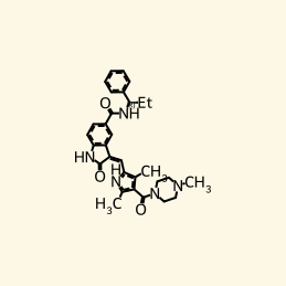 CC[C@@H](NC(=O)c1ccc2c(c1)C(=Cc1[nH]c(C)c(C(=O)N3CCN(C)CC3)c1C)C(=O)N2)c1ccccc1